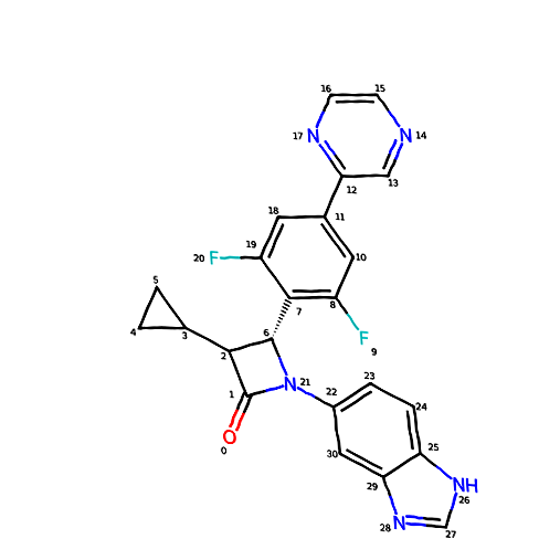 O=C1C(C2CC2)[C@H](c2c(F)cc(-c3cnccn3)cc2F)N1c1ccc2[nH]cnc2c1